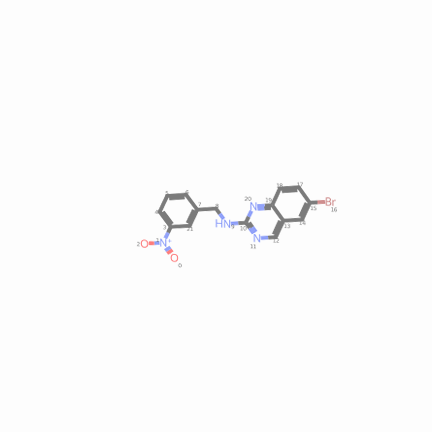 O=[N+]([O-])c1cccc(CNc2ncc3cc(Br)ccc3n2)c1